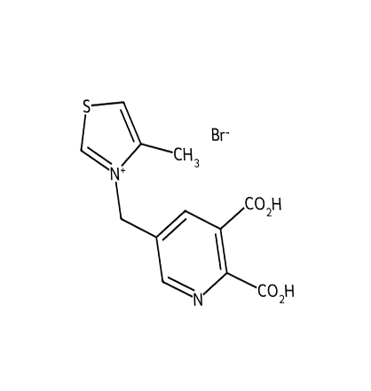 Cc1csc[n+]1Cc1cnc(C(=O)O)c(C(=O)O)c1.[Br-]